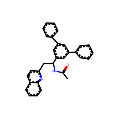 CC(=O)NC(Cc1ccc2ccccc2n1)c1cc(-c2ccccc2)cc(-c2ccccc2)c1